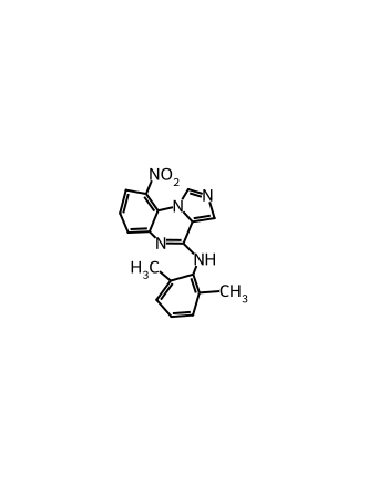 Cc1cccc(C)c1Nc1nc2cccc([N+](=O)[O-])c2n2cncc12